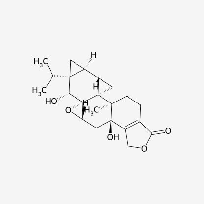 CC(C)[C@]12C[C@H]1[C@@H]1C[C@]13[C@]1(O[C@H]1C[C@@]1(O)C4=C(CC[C@]31C)C(=O)OC4)[C@@H]2O